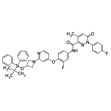 Cc1cc(=O)n(-c2ccc(F)cc2)nc1C(=O)Nc1ccc(Oc2ccnc(N3CC(O[Si](c4ccccc4)(c4ccccc4)C(C)(C)C)C3)c2)c(F)c1